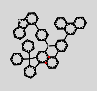 c1ccc(-c2ccc(-c3cc4ccccc4c4ccccc34)cc2N(c2ccc(-c3cccc4oc5ccccc5c34)cc2)c2ccc3c(c2)C(c2ccccc2)(c2ccccc2)c2ccccc2-3)cc1